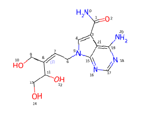 NC(=O)c1cn(C/C=C(/CO)C(O)CO)c2ncnc(N)c12